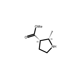 COC(=O)[C@H]1CCN[C@H]1C